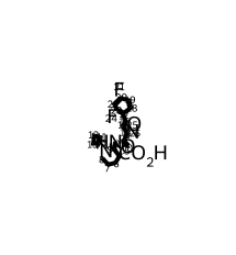 O=C(NC1[C@H](C(=O)O)CCCN1C1CCC1)c1cc(-c2ccc(F)cc2F)on1